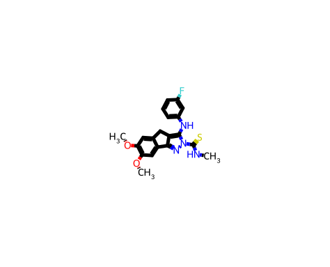 CNC(=S)n1nc2c(c1Nc1cccc(F)c1)Cc1cc(OC)c(OC)cc1-2